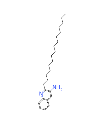 CCCCCCCCCCCCCCCCc1nc2ccccc2cc1N